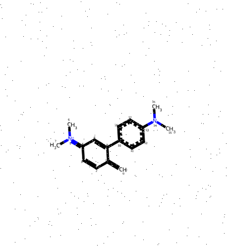 [CH]=C1C=CC(=[N+](C)C)C=C1c1ccc(N(C)C)cc1